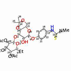 CCC1OC(OC2C(O)C(Oc3ccc(NC(=S)NC)cc3)OC3COC(C)(C)OC32)C(OC(C)=O)C(OC(C)=O)C1OC(C)=O